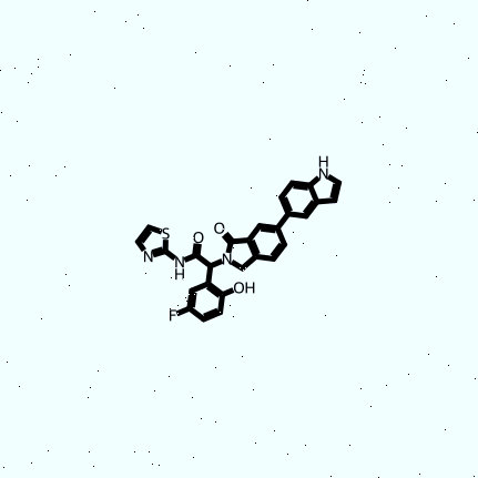 O=C(Nc1nccs1)C(c1cc(F)ccc1O)N1Cc2ccc(-c3ccc4[nH]ccc4c3)cc2C1=O